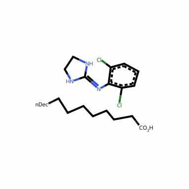 CCCCCCCCCCCCCCCCCC(=O)O.Clc1cccc(Cl)c1N=C1NCCN1